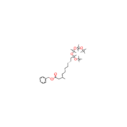 CC(CCCCCCC[Si](C)(O[Si](C)(C)C)O[Si](C)(C)O[Si](C)(C)O[Si](C)(C)C)CC(=O)OCc1ccccc1